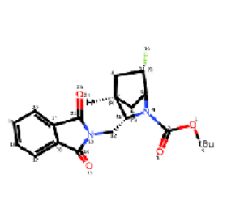 CC(C)(C)OC(=O)N1C2C[C@H](C[C@@H]2F)[C@H]1CN1C(=O)c2ccccc2C1=O